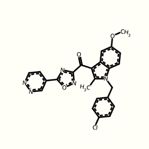 COc1ccc2c(c1)c(C(=O)c1noc(-c3ccnnc3)n1)c(C)n2Cc1ccc(Cl)cc1